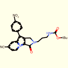 CC(C)(C)OC(=O)NCCCN1Cc2c(-c3ccc([N+](=O)[O-])cc3)c3cc(C#N)ccn3c2C1=O